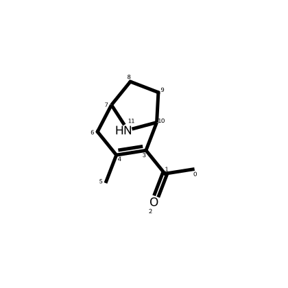 CC(=O)C1=C(C)CC2CCC1N2